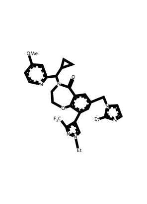 CCc1nccn1Cc1cc2c(c(-c3cn(CC)nc3C(F)(F)F)c1)OCCN(C(c1cc(OC)ccn1)C1CC1)C2=O